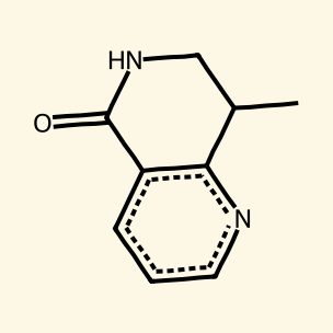 CC1CNC(=O)c2cccnc21